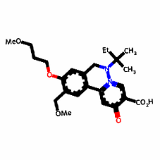 CCC(C)(C)N1Cc2cc(OCCCOC)c(COC)cc2-c2cc(=O)c(C(=O)O)cn21